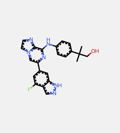 CC(C)(CO)c1ccc(Nc2nc(-c3cc(F)c4cn[nH]c4c3)cn3ccnc23)cc1